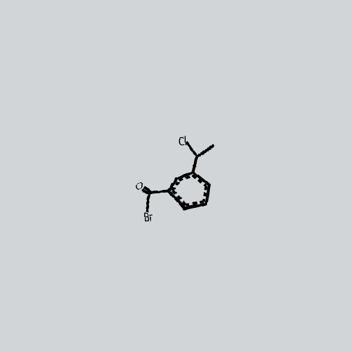 CC(Cl)c1cccc(C(=O)Br)c1